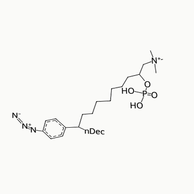 CCCCCCCCCCC(CCCCCCCC(C[N+](C)(C)C)OP(=O)(O)O)c1ccc(N=[N+]=[N-])cc1